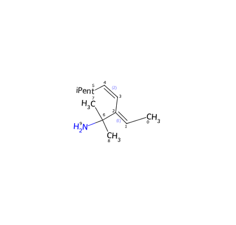 C/C=C(\C=C/C(C)CCC)C(C)(C)N